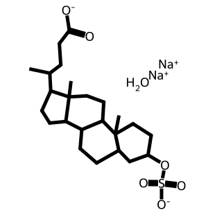 CC(CCC(=O)[O-])C1CCC2C3CCC4CC(OS(=O)(=O)[O-])CCC4(C)C3CCC12C.O.[Na+].[Na+]